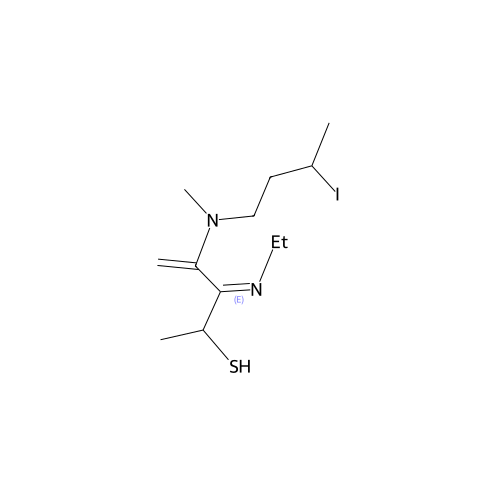 C=C(/C(=N\CC)C(C)S)N(C)CCC(C)I